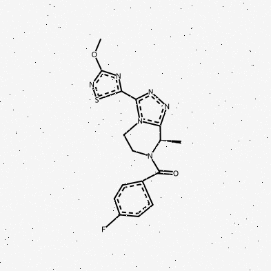 COc1nsc(-c2nnc3n2CCN(C(=O)c2ccc(F)cc2)[C@@H]3C)n1